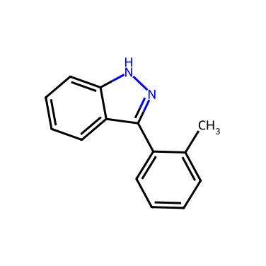 Cc1ccccc1-c1n[nH]c2ccccc12